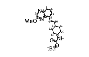 COc1cnc2cccc(/C=C/C3CCC(NC(=O)OC(C)(C)C)CC3)c2n1